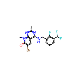 Cc1nc(NCc2cccc(C(F)F)c2F)c2cc(Br)c(=O)n(C)c2n1